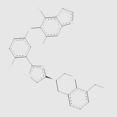 O=C(O)Cc1cccc2c1OC[C@H](c1cnc(-c3cc(Oc4c(F)cc5[nH]ccc5c4F)ccc3F)[nH]1)C2